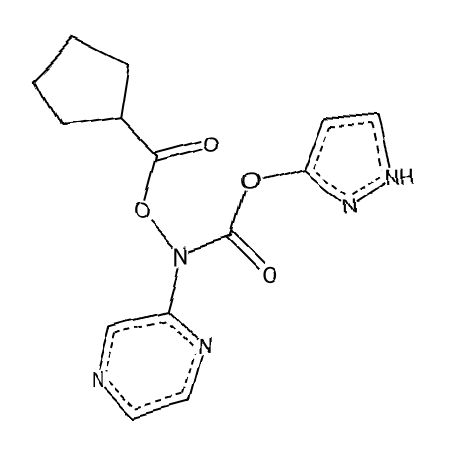 O=C(ON(C(=O)Oc1cc[nH]n1)c1cnccn1)C1CCCC1